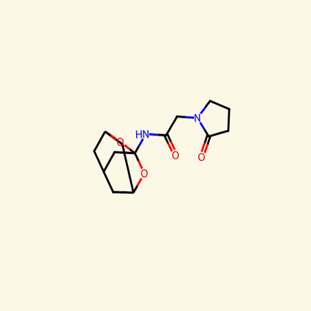 O=C(CN1CCCC1=O)NC12CC3CC(CC(C3)O1)O2